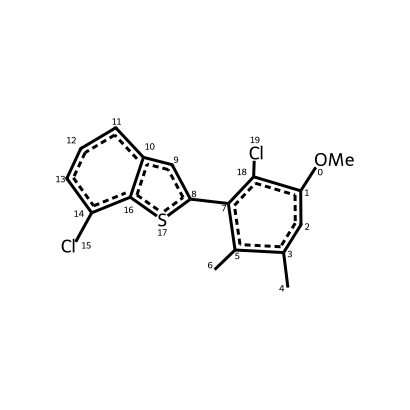 COc1cc(C)c(C)c(-c2cc3cccc(Cl)c3s2)c1Cl